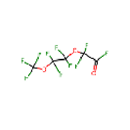 O=C(F)C(F)(F)OC(F)(F)C(F)(F)OC(F)(F)F